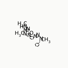 CCNc1ncc2c(n1)N(C)CCN(c1cccc(-n3cnc(CN(C)CCc4ccccc4)c3)c1)C2=O